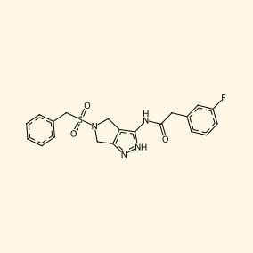 O=C(Cc1cccc(F)c1)Nc1[nH]nc2c1CN(S(=O)(=O)Cc1ccccc1)C2